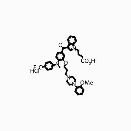 COc1ccccc1N1CCN(CCCOc2cc(C(=O)c3cn(CCCC(=O)O)c4ccccc34)ccc2N(C)c2ccc(C(F)(F)F)cc2)CC1.Cl